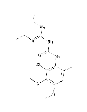 CCN=C(NCC)NC(=O)Nc1c(C)cc(OC)c(OC)c1Cl